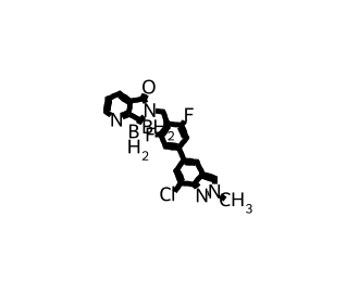 BC1(B)c2ncccc2C(=O)N1Cc1c(F)cc(-c2cc(Cl)c3nn(C)cc3c2)cc1F